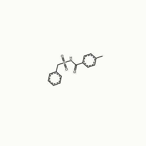 Cc1ccc(C(=O)NS(=O)(=O)Cc2ccccc2)cc1